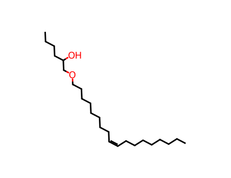 CCCCCCCC/C=C\CCCCCCCCOCC(O)CCCC